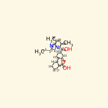 CCCc1cn2c([C@H](O)c3ccc(-c4ccccc4C(=O)O)cc3)c(C)cc(C)c2n1